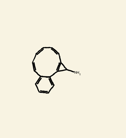 NC1c2ccccccc3ccccc3c21